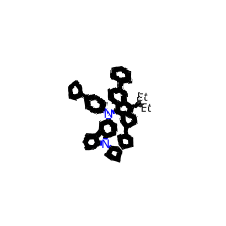 CCC(CC)c1c2cc(-c3ccccc3)ccc2c(N(c2ccc(-c3ccccc3)cc2)c2ccc3c(c2)c2ccccc2n3-c2ccccc2)c2cc(-c3ccccc3)ccc12